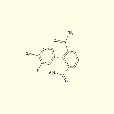 NC(=O)c1cccc(C(N)=O)c1-c1ccc([N+](=O)[O-])c(F)c1